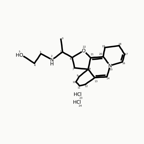 CC(NCCO)C1CC23CCCCC2=CN2C=CCCC2=C3O1.Cl.Cl